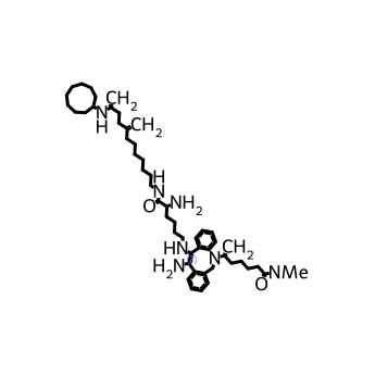 C=C(CCCCCCCNC(=O)C(N)CCCCN/C1=C(\N)c2ccccc2CN(C(=C)CCCCC(=O)NC)c2ccccc21)CCC(=C)NC1CCCCCCCC1